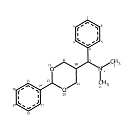 CN(C)C(c1ccccc1)C1COC(c2ccccc2)OC1